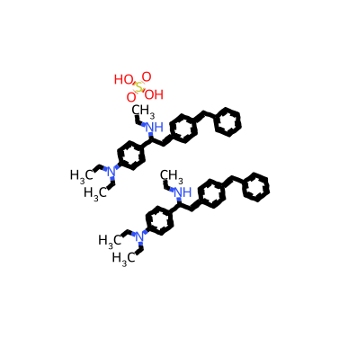 CCNC(C=c1ccc(=Cc2ccccc2)cc1)c1ccc(N(CC)CC)cc1.CCNC(C=c1ccc(=Cc2ccccc2)cc1)c1ccc(N(CC)CC)cc1.O=S(=O)(O)O